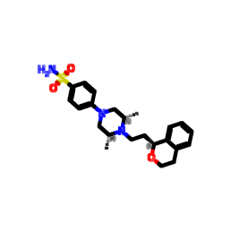 C[C@@H]1CN(c2ccc(S(N)(=O)=O)cc2)C[C@H](C)N1CC[C@@H]1OCCc2ccccc21